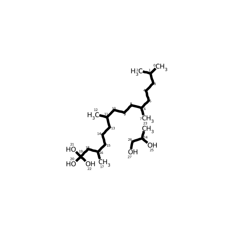 CC(C)CCCC(C)CCCC(C)CCCC(C)CC(O)(O)O.CC(O)CO